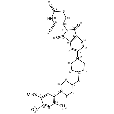 COc1cc(N2CCC(CN3CCN(c4ccc5c(c4)C(=O)N(C4CCC(=O)NC4=O)C5=O)CC3)CC2)c(C)cc1[N+](=O)[O-]